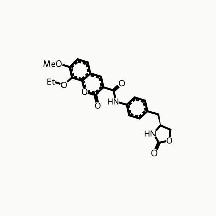 CCOc1c(OC)ccc2cc(C(=O)Nc3ccc(C[C@H]4COC(=O)N4)cc3)c(=O)oc12